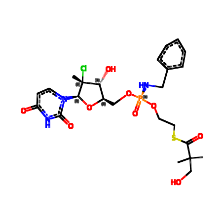 CC(C)(CO)C(=O)SCCO[P@@](=O)(NCc1ccccc1)OC[C@H]1O[C@@H](n2ccc(=O)[nH]c2=O)[C@](C)(Cl)[C@@H]1O